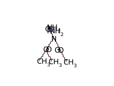 CCCCCCCCCOC(=O)CCCCCCCN(CCCCCCCC(=O)OC(CCCCCCCC)CCCCCCCC)CCCC/C(N)=N/S(N)(=O)=O